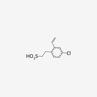 C=Cc1cc(Cl)ccc1CCS(=O)(=O)O